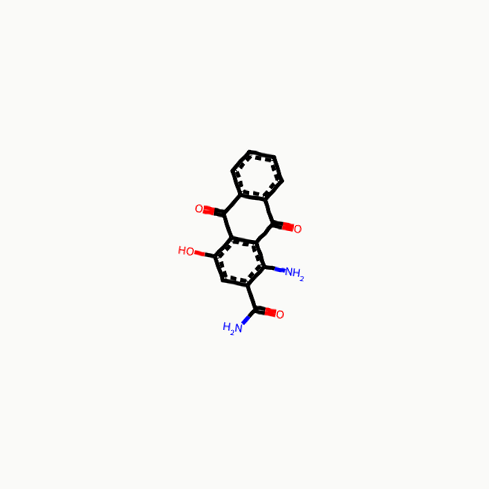 NC(=O)c1cc(O)c2c(c1N)C(=O)c1ccccc1C2=O